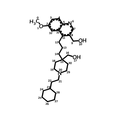 COc1ccc2ncc(CO)c(CCCC3(CO)CCN(CCC4CCCCC4)CC3)c2c1